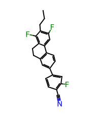 CCCc1c(F)cc2c(c1F)CCc1cc(-c3ccc(C#N)c(F)c3)ccc1-2